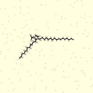 CCCCCCCCCCCCCCCCCN1C=CN(C(C)C)C1CCCCCCCCCCCC